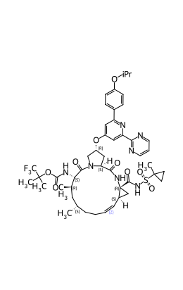 CC(C)Oc1ccc(-c2cc(O[C@@H]3C[C@H]4C(=O)N[C@]5(C(=O)NS(=O)(=O)C6(C)CC6)C[C@H]5/C=C\CC[C@H](C)C[C@@H](C)[C@H](NC(=O)OC(C)(C)C(F)(F)F)C(=O)N4C3)cc(-c3ncccn3)n2)cc1